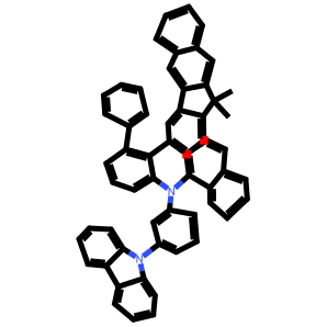 CC1(C)c2ccc(-c3c(-c4ccccc4)cccc3N(c3cccc(-n4c5ccccc5c5ccccc54)c3)c3cccc4ccccc34)cc2-c2cc3ccccc3cc21